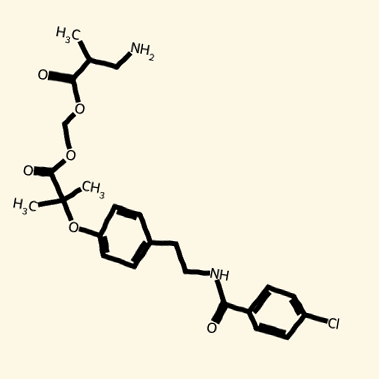 CC(CN)C(=O)OCOC(=O)C(C)(C)Oc1ccc(CCNC(=O)c2ccc(Cl)cc2)cc1